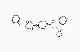 O=C(CCC1(Cc2ccccc2)CCC1)N1CCN(C2COC(Cc3ccccc3)CO2)CC1